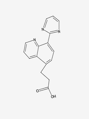 O=C(O)CCc1ccc(-c2ncccn2)c2ncccc12